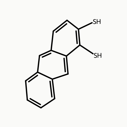 Sc1ccc2cc3ccccc3cc2c1S